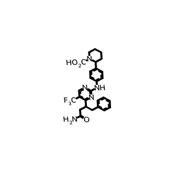 NC(=O)CC(Cc1ccccc1)c1nc(Nc2ccc(C3CCCCN3C(=O)O)cc2)ncc1C(F)(F)F